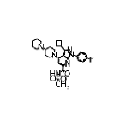 CS(=O)(=O)NC(=O)c1cc(N2CCC(N3CCCCC3)CC2)c2c(C3CCC3)nn(-c3ccc(F)cc3)c2n1